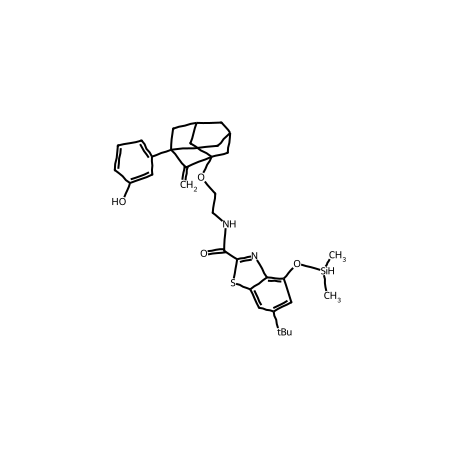 C=C1C2(OCCNC(=O)c3nc4c(O[SiH](C)C)cc(C(C)(C)C)cc4s3)CC3CC(C2)CC1(c1cccc(O)c1)C3